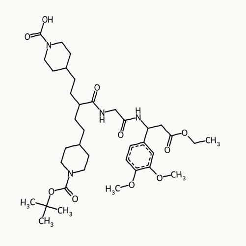 CCOC(=O)CC(NC(=O)CNC(=O)C(CCC1CCN(C(=O)O)CC1)CCC1CCN(C(=O)OC(C)(C)C)CC1)c1ccc(OC)c(OC)c1